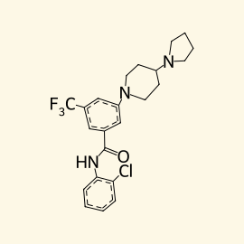 O=C(Nc1ccccc1Cl)c1cc(N2CCC(N3CCCC3)CC2)cc(C(F)(F)F)c1